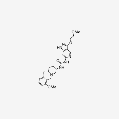 COCCOc1n[nH]c2cc(NC(=O)NC3CCCN(Cc4c(F)cccc4OC)C3)ncc12